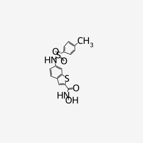 Cc1ccc(S(=O)(=O)Nc2ccc3cc(C(=O)NO)sc3c2)cc1